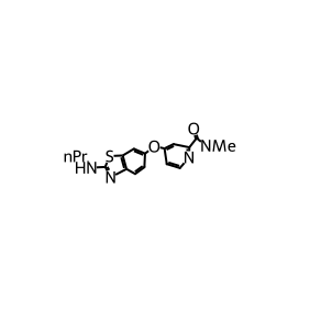 CCCNc1nc2ccc(Oc3ccnc(C(=O)NC)c3)cc2s1